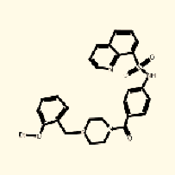 CCOc1ccccc1CN1CCN(C(=O)c2ccc(NS(=O)(=O)c3cccc4cccnc34)cc2)CC1